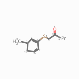 CC1C=C(SCC(=O)C(C)C)C=CC1